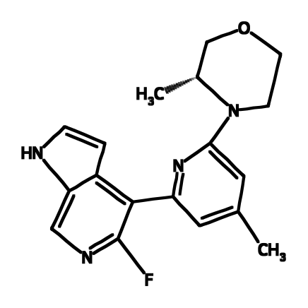 Cc1cc(-c2c(F)ncc3[nH]ccc23)nc(N2CCOC[C@H]2C)c1